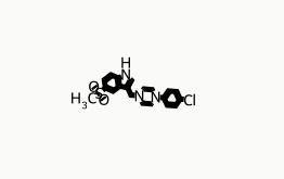 CS(=O)(=O)c1ccc2[nH]cc(CN3CCN(c4ccc(Cl)cc4)CC3)c2c1